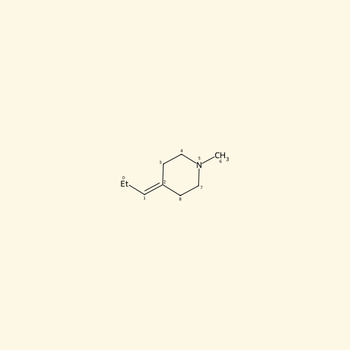 CCC=C1CCN(C)CC1